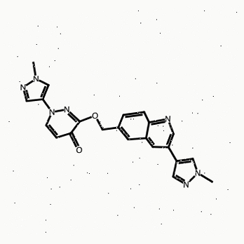 Cn1cc(-c2cnc3ccc(COc4nn(-c5cnn(C)c5)ccc4=O)cc3c2)cn1